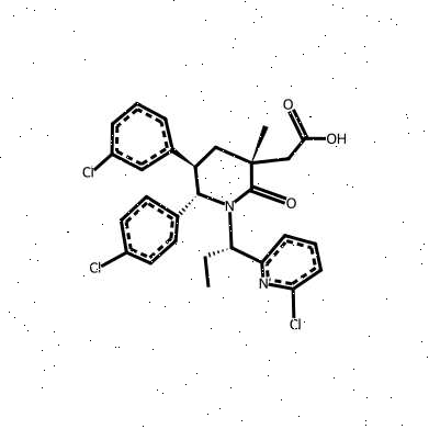 CC[C@@H](c1cccc(Cl)n1)N1C(=O)[C@@](C)(CC(=O)O)C[C@H](c2cccc(Cl)c2)[C@H]1c1ccc(Cl)cc1